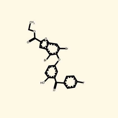 CCOC(=O)c1cc2c(Br)c(Oc3ccc(O)c(C(=O)c4ccc(F)cc4)c3)c(Br)cc2o1